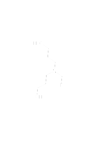 CCCCN(CF)CCCC